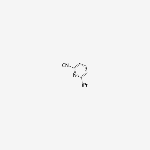 [C-]#[N+]c1cccc(C(C)C)n1